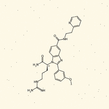 COc1cccc(-c2nc3cc(C(=O)NCCc4ccccn4)ccc3n2[C@@H](CCCNC(=N)N)C(N)=O)c1